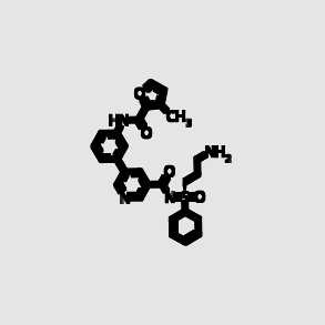 Cc1ccoc1C(=O)Nc1cccc(-c2cncc(C(=O)N=[S@](=O)(CCCN)C3C=CC=CC3)c2)c1